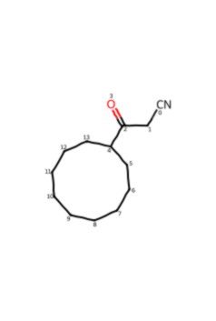 N#CCC(=O)C1CCCCCCCCC1